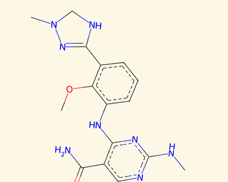 CNc1ncc(C(N)=O)c(Nc2cccc(C3=NN(C)CN3)c2OC)n1